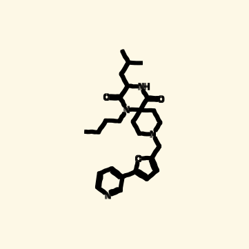 CCCCN1C(=O)C(CC(C)C)NC(=O)C12CCN(Cc1ccc(-c3cccnc3)o1)CC2